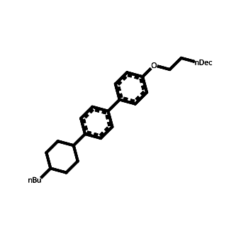 CCCCCCCCCCCCOc1ccc(-c2ccc(C3CCC(CCCC)CC3)cc2)cc1